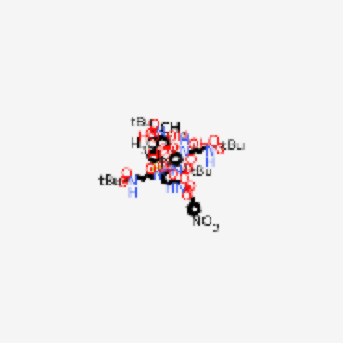 CN(C(=O)OC(C)(C)C)[C@@H]1[C@@H](O)[C@@H](O[C@@H]2[C@@H](O)[C@H](O[C@H]3OC(CNC(=O)OCc4ccc([N+](=O)[O-])cc4)=CC[C@H]3N(CCCCNC(=O)OC(C)(C)C)S(=O)(=O)c3ccccc3[N+](=O)[O-])[C@@H](NC(=O)OC(C)(C)C)C[C@H]2NC(=O)[C@@H](O)CCNC(=O)OC(C)(C)C)OC[C@]1(C)O